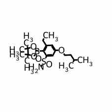 CCc1cc(OCCC(C)C)cc(S(N)(=O)=O)c1B1OC(C)(C)C(C)(C)O1